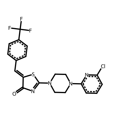 O=C1N=C(N2CCN(c3cccc(Cl)n3)CC2)SC1=Cc1ccc(C(F)(F)F)cc1